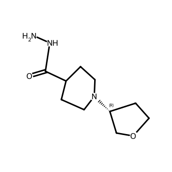 NNC(=O)C1CCN([C@@H]2CCOC2)CC1